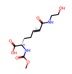 COC(=O)N[C@@H](CC/C=C/C(=O)NCCO)C(=O)O